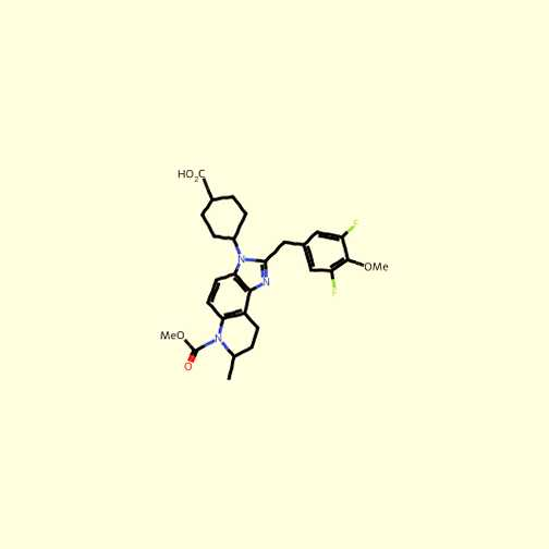 COC(=O)N1c2ccc3c(nc(Cc4cc(F)c(OC)c(F)c4)n3C3CCC(C(=O)O)CC3)c2CCC1C